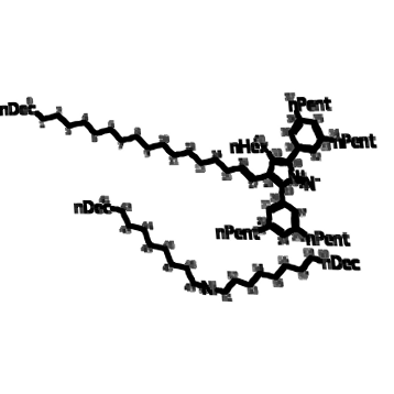 CCCCCCCCCCCCCCCCCCCCCCCCCC=CC1=C(c2cc(CCCCC)cc(CCCCC)c2)[N+](=[N-])C(c2cc(CCCCC)cc(CCCCC)c2)=C1CCCCCC.CCCCCCCCCCCCCCCCC[CH2][Ni][CH2]CCCCCCCCCCCCCCCCC